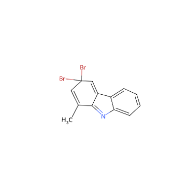 CC1=CC(Br)(Br)C=C2C1=Nc1ccccc12